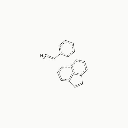 C1=Cc2cccc3cccc1c23.C=Cc1ccccc1